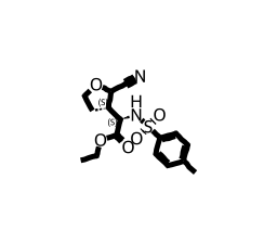 CCOC(=O)[C@@H](NS(=O)(=O)c1ccc(C)cc1)[C@@H]1CCOC1C#N